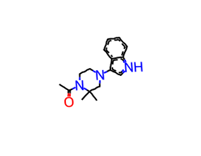 CC(=O)N1CCN(c2c[nH]c3ccccc23)CC1(C)C